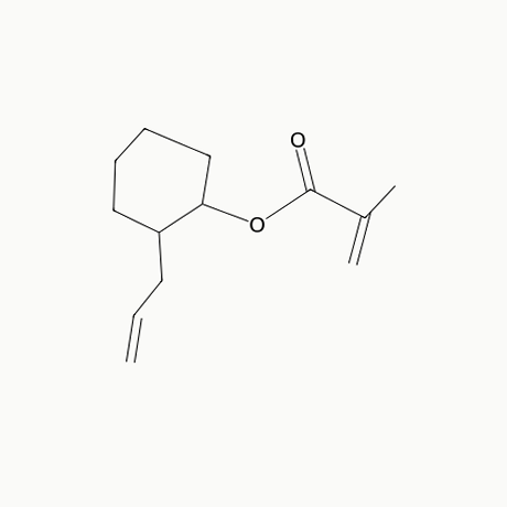 C=CCC1CCCCC1OC(=O)C(=C)C